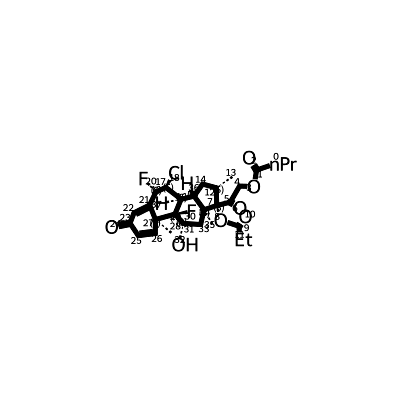 CCCC(=O)OCC(=O)[C@]1(OC(=O)CC)[C@@H](C)C[C@H]2[C@@H]3[C@H](Cl)[C@@H](F)C4=CC(=O)C=C[C@]4(C)[C@@]3(F)[C@@H](O)C[C@@]21C